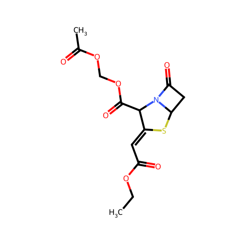 CCOC(=O)C=C1SC2CC(=O)N2C1C(=O)OCOC(C)=O